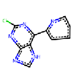 Clc1nc(-c2ccccn2)c2[nH]cnc2n1